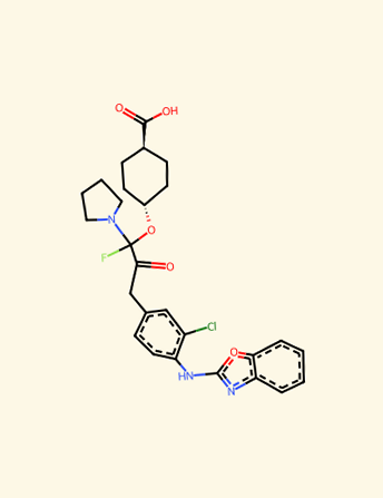 O=C(Cc1ccc(Nc2nc3ccccc3o2)c(Cl)c1)C(F)(O[C@H]1CC[C@H](C(=O)O)CC1)N1CCCC1